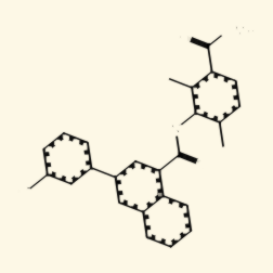 COC(=O)c1ccc(C)c(NC(=O)c2cc(-c3cccc(Cl)c3)cc3ccccc23)c1C